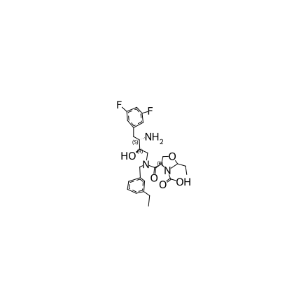 CCc1cccc(CN(C[C@@H](O)[C@@H](N)Cc2cc(F)cc(F)c2)C(=O)[C@H]2COC(CC)N2C(=O)O)c1